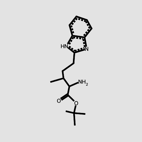 CC(CCc1nc2ccccc2[nH]1)C(N)C(=O)OC(C)(C)C